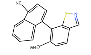 COc1ccc2cnsc2c1-c1ccc(C#N)c2ccccc12